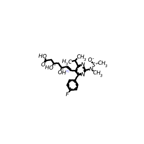 CC(C)c1nc(N(C)[S+](C)[O-])nc(-c2ccc(F)cc2)c1/C=C/[C@@H](O)C[C@@H](O)CC(=O)O